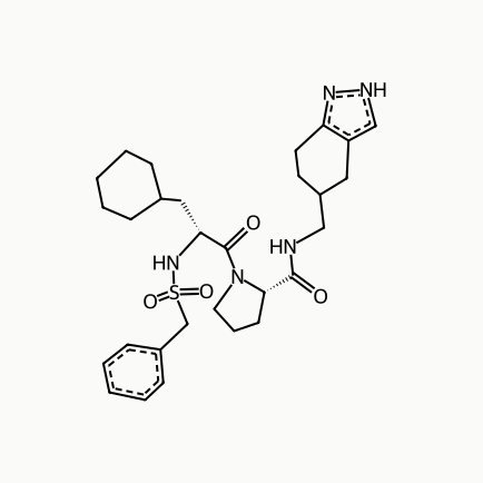 O=C(NCC1CCc2n[nH]cc2C1)[C@@H]1CCCN1C(=O)[C@@H](CC1CCCCC1)NS(=O)(=O)Cc1ccccc1